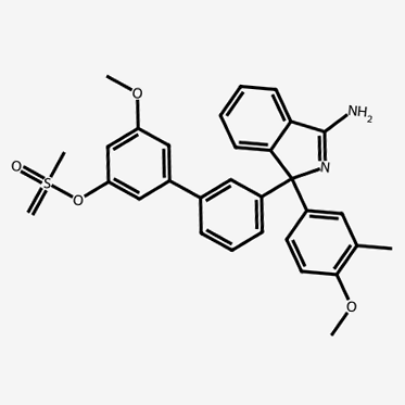 C=S(C)(=O)Oc1cc(OC)cc(-c2cccc(C3(c4ccc(OC)c(C)c4)N=C(N)c4ccccc43)c2)c1